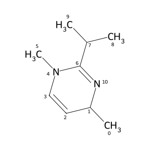 CC1C=CN(C)C(C(C)C)=N1